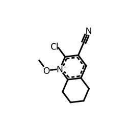 CO[n+]1c(Cl)c(C#N)cc2c1CCCC2